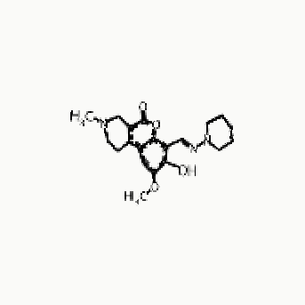 COc1cc2c3c(c(=O)oc2c(/C=N/N2CCCCC2)c1O)CN(C)CC3